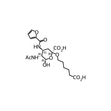 CC(=O)N[C@@H]1[C@@H](NC(=O)c2ccco2)C[C@](OCCCCCC(=O)O)(C(=O)O)O[C@H]1O